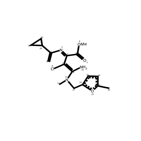 C=C(/N=C(C(=O)OC)\C(Cl)=C(/N)N(C)Cc1ccc(C)o1)C1CC1